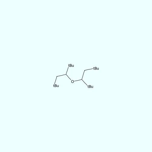 CC(C)(C)CC(OC(CC(C)(C)C)C(C)(C)C)C(C)(C)C